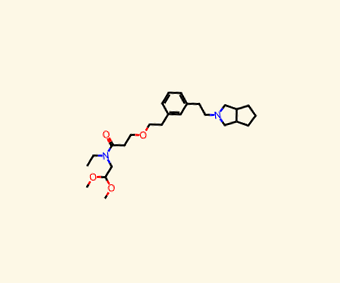 CCN(CC(OC)OC)C(=O)CCOCCc1cccc(CCN2CC3CCCC3C2)c1